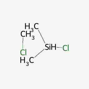 CCl.C[SiH](C)Cl